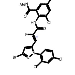 CNC(=O)c1cc(Cl)cc(Cl)c1NC(=O)/C(F)=C/c1cc(Br)nn1-c1ccc(Cl)cc1Cl